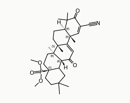 COP(=O)(OC)[C@]12CCC(C)(C)CC1[C@H]1C(=O)C=C3[C@@]4(C)C=C(C#N)C(=O)C(C)(C)[C@@H]4CC[C@@]3(C)[C@]1(C)CC2